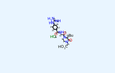 CCC(C)[C@H]1C(=O)N(CC(=O)O)CCN1C(=O)CNC(=O)c1ccc(NC(=N)N)cc1.Cl